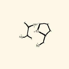 CC(O)C(C)O.OCC1CCCO1